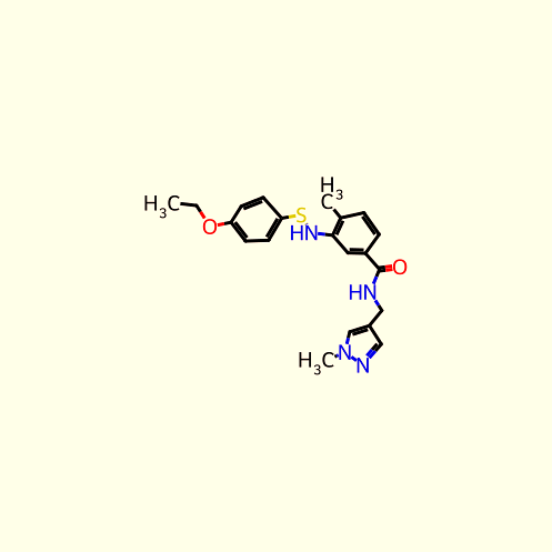 CCOc1ccc(SNc2cc(C(=O)NCc3cnn(C)c3)ccc2C)cc1